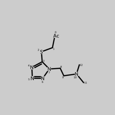 CC(=O)CSc1nnnn1CCN(C)C